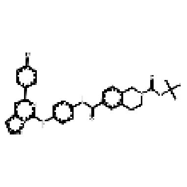 CC(C)(C)OC(=O)N1CCc2cc(C(=O)Nc3ccc(Nc4nc(-c5ccc(Br)cc5)cc5ccnn45)cc3)ccc2C1